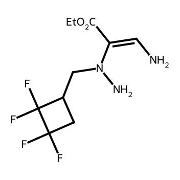 CCOC(=O)/C(=C/N)N(N)CC1CC(F)(F)C1(F)F